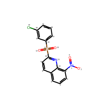 O=[N+]([O-])c1cccc2ccc(S(=O)(=O)c3cccc(Cl)c3)nc12